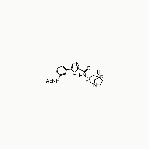 CC(=O)Nc1cccc(-c2cnc(C(=O)N[C@@H]3C[C@@H]4CCN(C4)C3)o2)c1